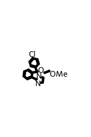 COCCOC1(c2ccc(Cl)cc2)c2ccccc2C2=NCCN21